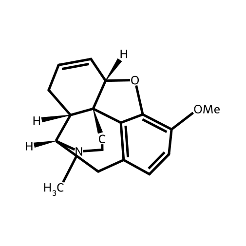 COc1ccc2c3c1O[C@H]1C=CC[C@H]4[C@@H](C2)N(C)CC[C@]314